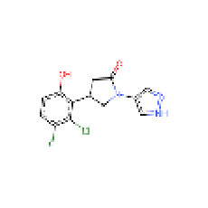 O=C1CC(c2c(O)ccc(Cl)c2Cl)CN1c1cn[nH]c1